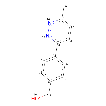 Cc1ccc(-c2ccc(CO)cc2)nn1